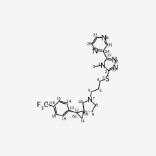 Cn1c(SCCCN2CC[C@@]3(C[C@H]3c3ccc(C(F)(F)F)cc3)C2)nnc1-c1cnccn1